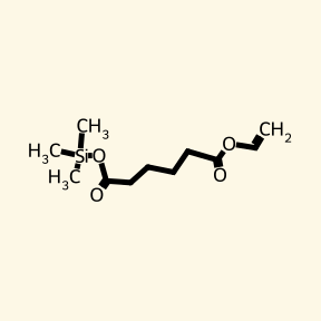 C=COC(=O)CCCCC(=O)O[Si](C)(C)C